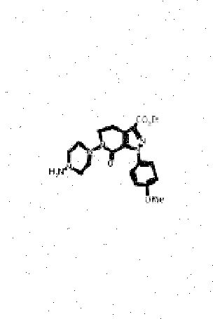 CCOC(=O)c1nn(-c2ccc(OC)cc2)c2c1CCN(N1CCN(N)CC1)C2=O